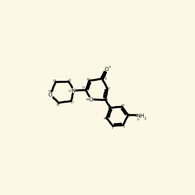 Nc1cccc(-c2cc(=O)cc(N3CCOCC3)o2)c1